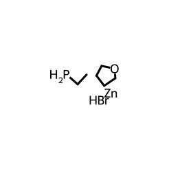 Br.C1CCOC1.CCP.[Zn]